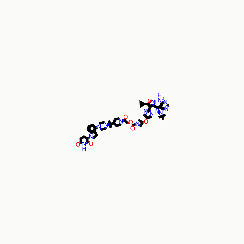 CC(C)(C1CCN(C(=O)COC(=O)N2CC(Oc3cnc(-c4c(-c5nn(C(C)(C)C)c6ncnc(N)c56)noc4C4CC4)nc3)C2)CC1)N1CCN(c2cccc3c2CCN3[C@@H]2CCC(=O)NC2=O)CC1